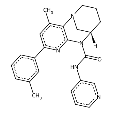 Cc1cccc(-c2cc(C)c3c(n2)N(C(=O)Nc2cccnc2)[C@H]2CCCN3C2)c1